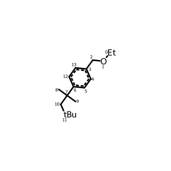 CCOCc1ccc(C(C)(C)CC(C)(C)C)cc1